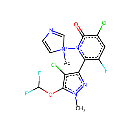 CC(=O)[N+]1(n2c(-c3nn(C)c(OC(F)F)c3Cl)c(F)cc(Cl)c2=O)C=CN=C1